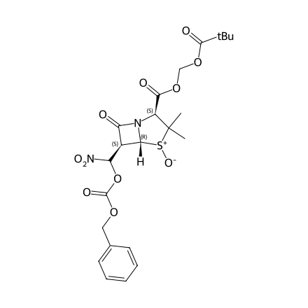 CC(C)(C)C(=O)OCOC(=O)[C@@H]1N2C(=O)[C@H](C(OC(=O)OCc3ccccc3)[N+](=O)[O-])[C@H]2[S+]([O-])C1(C)C